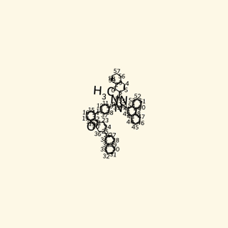 CC1C2=C(C=CC1c1nc(-c3ccc(-c4cccc5oc6c(c45)C=CC(c4ccc5ccccc5c4)C6)cc3)nc(-c3cc4ccccc4c4ccccc34)n1)CCC=C2